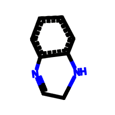 C1=Nc2ccccc2NC1